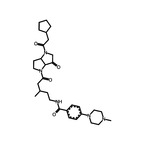 CC(CCNC(=O)c1ccc(N2CCN(C)CC2)cc1)CC(=O)N1CCC2C1C(=O)CN2C(=O)CC1CCCC1